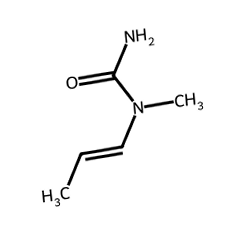 CC=CN(C)C(N)=O